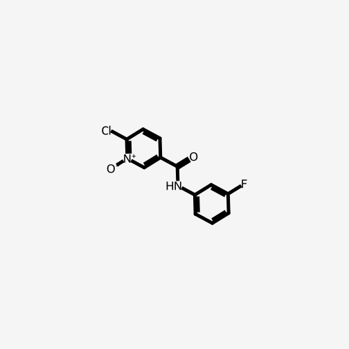 O=C(Nc1cccc(F)c1)c1ccc(Cl)[n+]([O-])c1